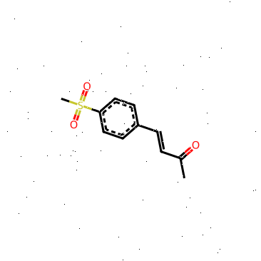 CC(=O)/C=C/c1ccc(S(C)(=O)=O)cc1